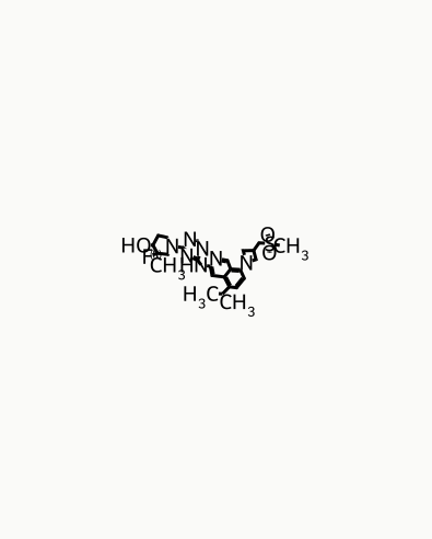 CC(C)c1ccc(N2CC(CS(C)(=O)=O)C2)c2cnc(Nc3ncnc(N4CCC(O)[C@](C)(F)C4)n3)cc12